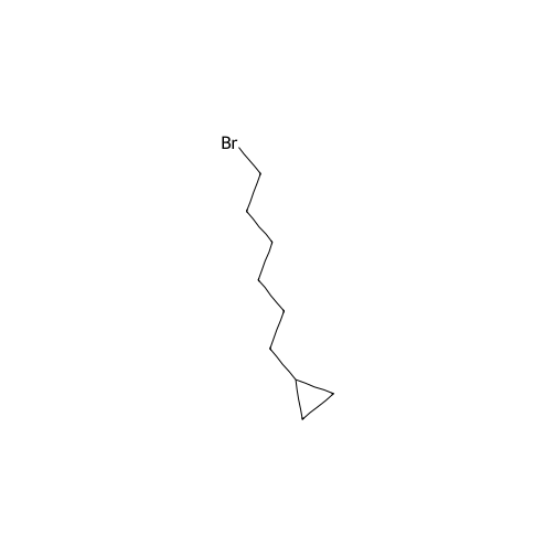 BrCCCCCCC1CC1